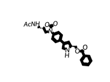 CC(=O)NC[C@H]1CN(c2ccc(C3=C[C@@H](COC(=O)c4ccccc4)NC3)cc2)C(=O)O1